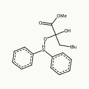 COC(=O)C(O)(CC(C)(C)C)O[SiH](c1ccccc1)c1ccccc1